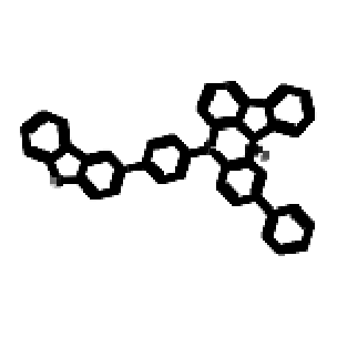 CC12c3ccccc3-c3cccc(c31)N(c1ccc(-c3ccc4oc5ccccc5c4c3)cc1)c1ccc(-c3ccccc3)cc12